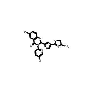 CC1CNC(c2csc(-c3nc4ccc(Cl)cc4c(=O)n3-c3ccc(Cl)cn3)c2)=N1